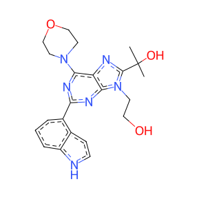 CC(C)(O)c1nc2c(N3CCOCC3)nc(-c3cccc4[nH]ccc34)nc2n1CCO